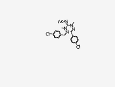 CC(=O)N=C(N(C)N=Cc1ccc(Cl)cc1)N(C)N=Cc1ccc(Cl)cc1